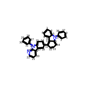 c1ccc(-n2c3ccccc3c3c(-c4ccc5c(c4)c4cccnc4n5-c4ccccc4)cccc32)cc1